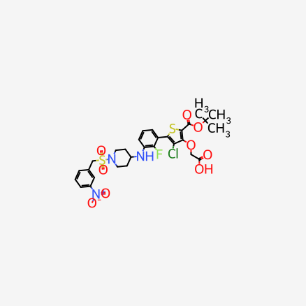 CC(C)(C)OC(=O)c1sc(-c2cccc(NC3CCN(S(=O)(=O)Cc4cccc([N+](=O)[O-])c4)CC3)c2F)c(Cl)c1OCC(=O)O